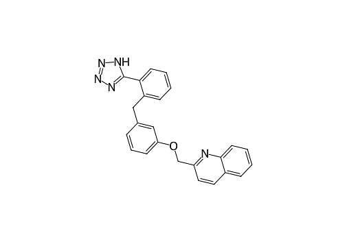 c1cc(Cc2ccccc2-c2nnn[nH]2)cc(OCc2ccc3ccccc3n2)c1